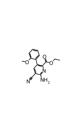 CCOC(=O)c1nc(N)c(C#N)cc1-c1ccccc1OC